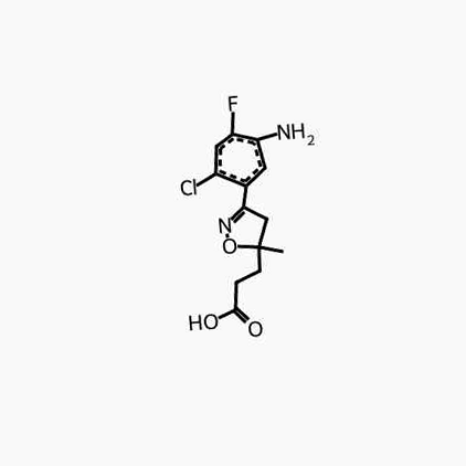 CC1(CCC(=O)O)CC(c2cc(N)c(F)cc2Cl)=NO1